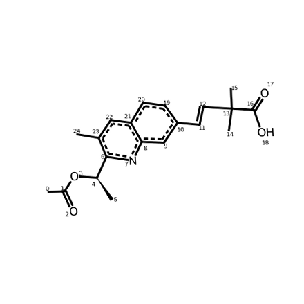 CC(=O)O[C@H](C)c1nc2cc(/C=C/C(C)(C)C(=O)O)ccc2cc1C